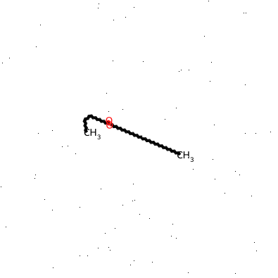 CCCCC/C=C\C/C=C\CCCCCCCC(=O)OCCCCCCCCCCCCCCCCCCCCCCCCCCCCCCCCCC